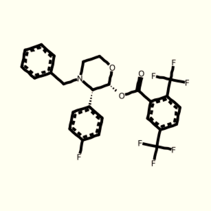 O=C(O[C@H]1OCCN(Cc2ccccc2)[C@H]1c1ccc(F)cc1)c1cc(C(F)(F)F)ccc1C(F)(F)F